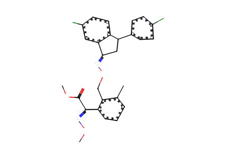 CO/N=C(/C(=O)OC)c1cccc(C)c1CO/N=C1\CC(c2ccc(F)cc2)c2ccc(F)cc21